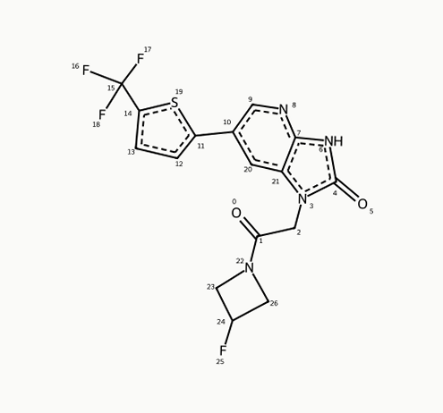 O=C(Cn1c(=O)[nH]c2ncc(-c3ccc(C(F)(F)F)s3)cc21)N1CC(F)C1